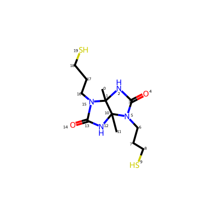 CC12NC(=O)N(CCCS)C1(C)NC(=O)N2CCCS